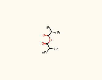 CCCC(C(=O)OC(=O)C(CCC)C(C)C)C(C)C